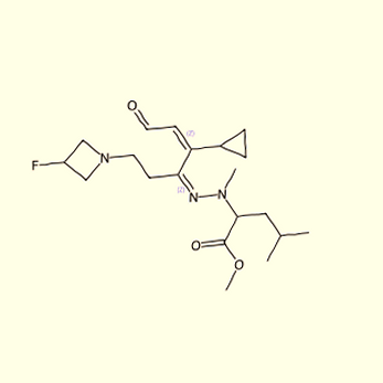 COC(=O)C(CC(C)C)N(C)/N=C(CCN1CC(F)C1)\C(=C/C=O)C1CC1